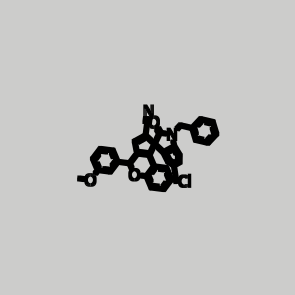 COc1cccc(C2Oc3ccc(Cl)cc3C3=C2C=C(C#N)C32C(=O)N(Cc3ccccc3)c3ccc(C)cc32)c1